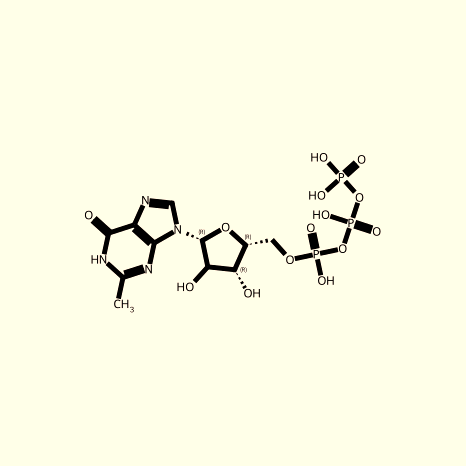 Cc1nc2c(ncn2[C@@H]2O[C@H](COP(=O)(O)OP(=O)(O)OP(=O)(O)O)[C@H](O)C2O)c(=O)[nH]1